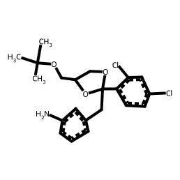 CC(C)(C)OCC1COC(Cc2cccc(N)c2)(c2ccc(Cl)cc2Cl)O1